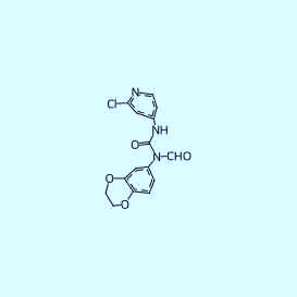 O=CN(C(=O)Nc1ccnc(Cl)c1)c1ccc2c(c1)OCCO2